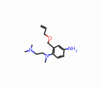 C=CCOCc1cc(N)ccc1N(C)CCN(C)C